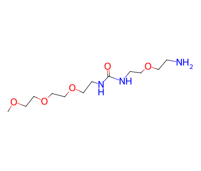 COCCOCCOCCNC(=O)NCCOCCN